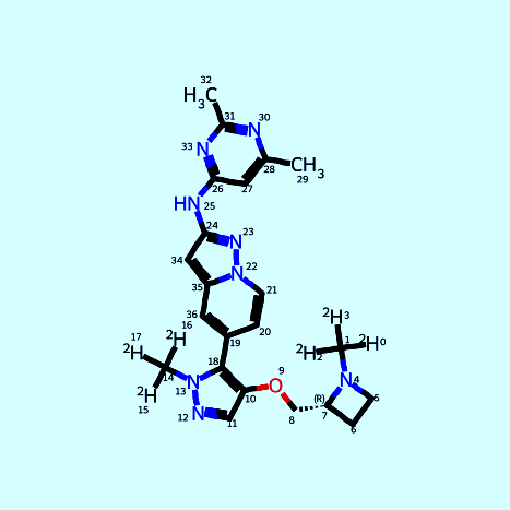 [2H]C([2H])([2H])N1CC[C@@H]1COc1cnn(C([2H])([2H])[2H])c1-c1ccn2nc(Nc3cc(C)nc(C)n3)cc2c1